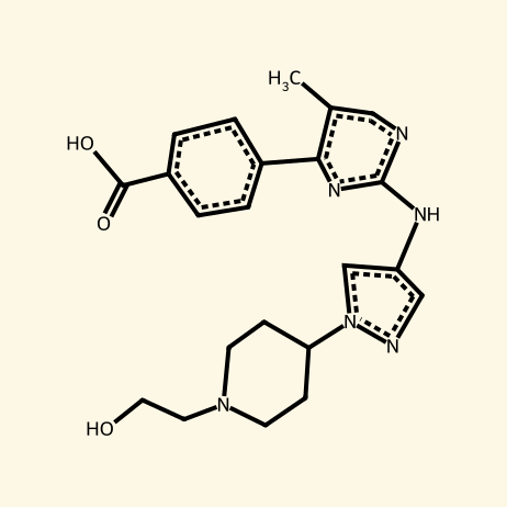 Cc1cnc(Nc2cnn(C3CCN(CCO)CC3)c2)nc1-c1ccc(C(=O)O)cc1